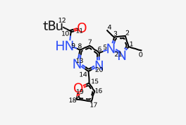 Cc1cc(C)n(-c2cc(NC(=O)C(C)(C)C)nc(-c3ccco3)n2)n1